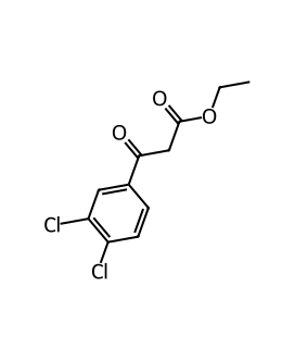 CCOC(=O)CC(=O)c1ccc(Cl)c(Cl)c1